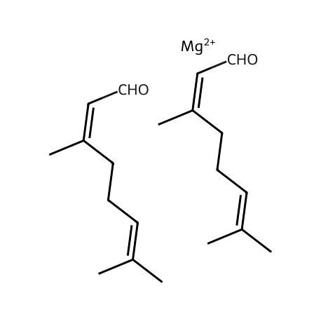 CC(C)=CCC/C(C)=C\C=O.CC(C)=CCC/C(C)=C\C=O.[Mg+2]